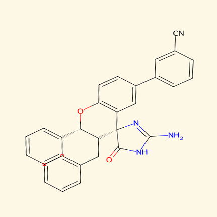 N#Cc1cccc(-c2ccc3c(c2)[C@]2(N=C(N)NC2=O)C(Cc2ccccc2)[C@H](c2ccccc2)O3)c1